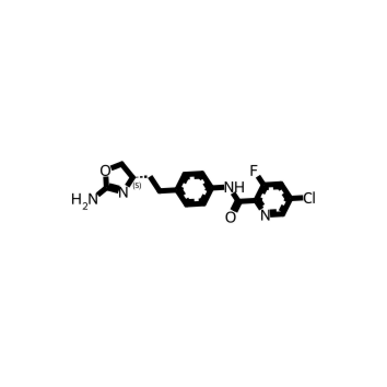 NC1=N[C@@H](CCc2ccc(NC(=O)c3ncc(Cl)cc3F)cc2)CO1